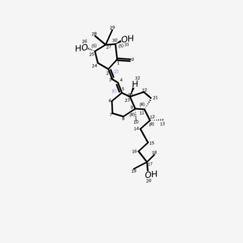 C=C1/C(=C\C=C2/CCC[C@]3(C)[C@@H]([C@H](C)CCCC(C)(C)O)CC[C@@H]23)C[C@H](O)C(C)(C)[C@H]1O